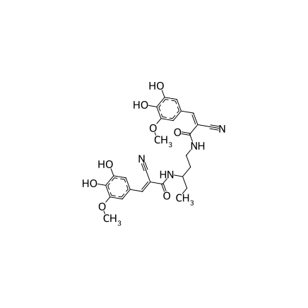 CCC(CCNC(=O)C(C#N)=Cc1cc(O)c(O)c(OC)c1)NC(=O)C(C#N)=Cc1cc(O)c(O)c(OC)c1